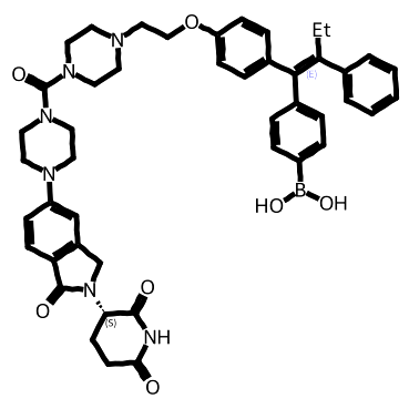 CC/C(=C(\c1ccc(OCCN2CCN(C(=O)N3CCN(c4ccc5c(c4)CN([C@H]4CCC(=O)NC4=O)C5=O)CC3)CC2)cc1)c1ccc(B(O)O)cc1)c1ccccc1